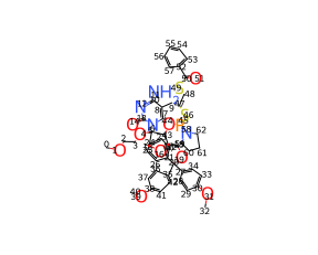 COCCOC1(n2cc(C)c(N)nc2=O)CO[C@H](COC(c2ccccc2)(c2ccc(OC)cc2)c2ccc(OC)cc2)C1OP(SCCSC(=O)c1ccccc1)N1CCCC1